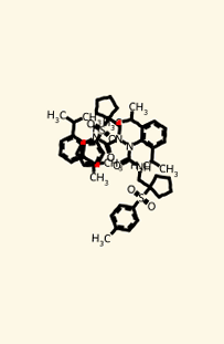 Cc1ccc(S(=O)(=O)C2(CNC(=O)N(c3c(C(C)C)cccc3C(C)C)N(CC3(S(=O)(=O)c4ccccc4)CCCC3)C(=O)Nc3c(C(C)C)cccc3C(C)C)CCCC2)cc1